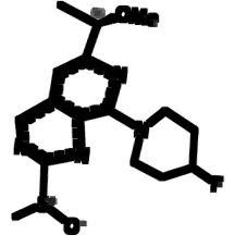 CO[C@H](C)c1cc2cnc([S+](C)[O-])nc2c(N2CCC(F)CC2)n1